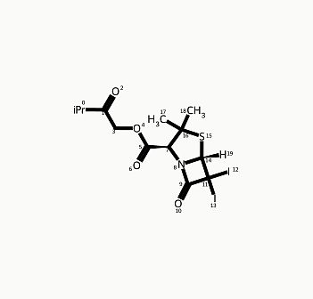 CC(C)C(=O)COC(=O)[C@@H]1N2C(=O)C(I)(I)[C@H]2SC1(C)C